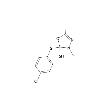 CC1=NN(C)C(S)(Sc2ccc(Cl)cc2)O1